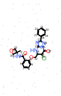 CC1(NC(=O)c2ccccc2OCC2Nc3nc(-c4ccccc4)nn3C(=O)C2Cl)COC1